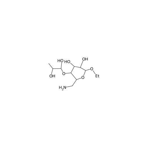 CCOC1OC(CN)C(OC(O)C(C)O)C(O)C1O